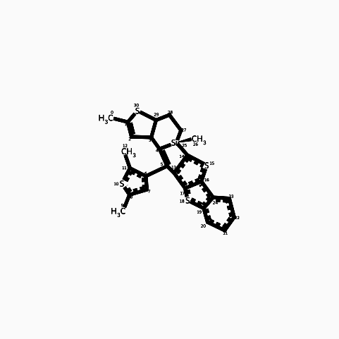 CC1=CC2C3=C(c4cc(C)sc4C)c4c(sc5c4sc4ccccc45)[Si@@]3(C)CCC2S1